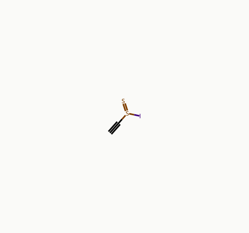 C#CS(=S)I